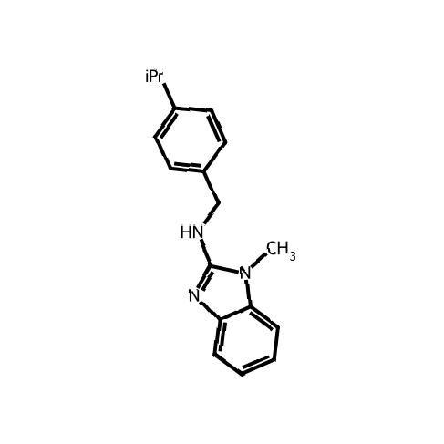 CC(C)c1ccc(CNc2nc3ccccc3n2C)cc1